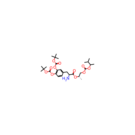 CC(C)C(C)OC(=O)OC[C@H](C)OC(=O)[C@@H](N)Cc1ccc(OC(=O)OC(C)(C)C)c(OC(=O)OC(C)(C)C)c1